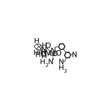 COc1c(CN2O[C@@H](CN)[C@H]([C@H](C)O)[C@H]2C(=O)N[C@H]2C[C@H]3C[C@@H]([C@@H]2C)C3(C)C)cccc1-c1cc(CN)cc(N(C)C)c1